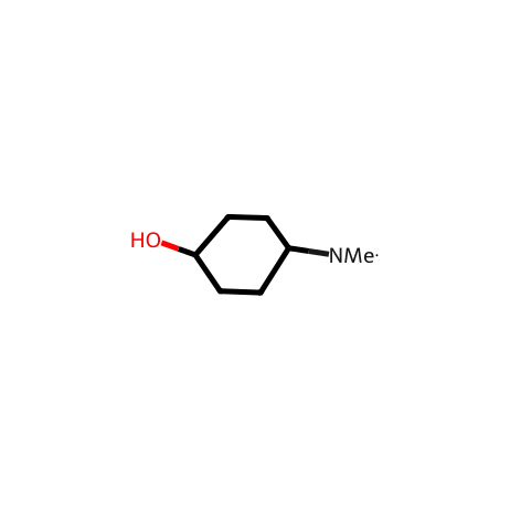 C[N]C1CCC(O)CC1